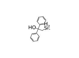 C[SiH2]CC(O)(c1ccccc1)c1ccccc1